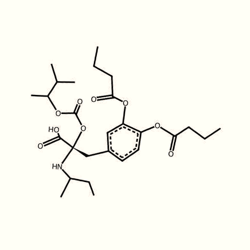 CCCC(=O)Oc1ccc(C[C@](NC(C)CC)(OC(=O)OC(C)C(C)C)C(=O)O)cc1OC(=O)CCC